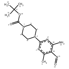 Cc1nc(N2CCN(C(=O)OC(C)(C)C)CC2)nc(N)c1N=O